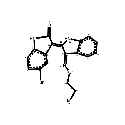 O=C1Nc2ccc(Br)cc2/C1=C1/Nc2ccccc2/C1=N\OCCBr